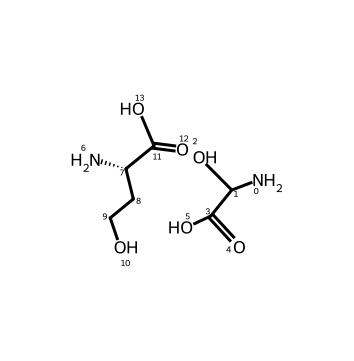 NC(O)C(=O)O.N[C@@H](CCO)C(=O)O